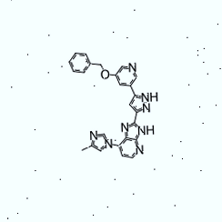 Cc1cn(-c2ccnc3[nH]c(-c4cc(-c5cncc(OCc6ccccc6)c5)[nH]n4)nc23)cn1